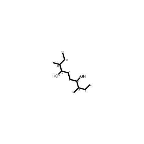 CCC(C)C(O)CCC(O)C(C)CC